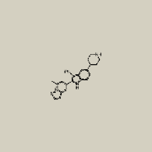 Cc1cc(-c2[nH]c3ccc(C4CCNCC4)cc3c2C(C)C)cc2ccnn12